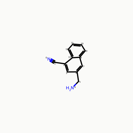 N#Cc1cc(CN)cc2ccccc12